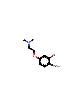 COc1ccc(OCCN(C)C)cc1Br